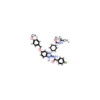 COc1ccc(COc2ccc3c(c2)N([C@H]2CC[C@@H](C(=O)NC(C)C)CC2)C(NC(=O)c2ccc(F)cc2)N3)cc1